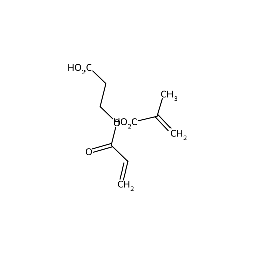 C=C(C)C(=O)O.C=CC(=O)OCCC(=O)O